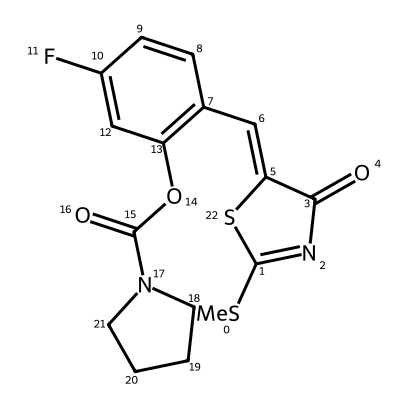 CSC1=NC(=O)C(=Cc2ccc(F)cc2OC(=O)N2CCCC2)S1